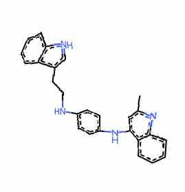 Cc1cc(Nc2ccc(NCCc3c[nH]c4ccccc34)cc2)c2ccccc2n1